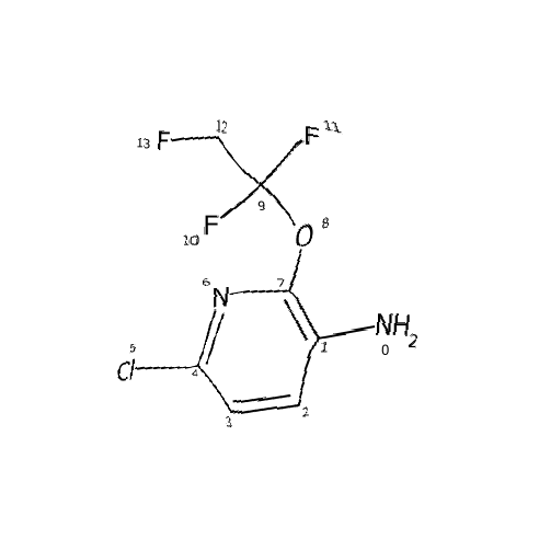 Nc1ccc(Cl)nc1OC(F)(F)CF